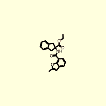 CCOC(=O)C1(NC(=O)c2cccc3cc(C)oc23)Cc2ccccc2C1